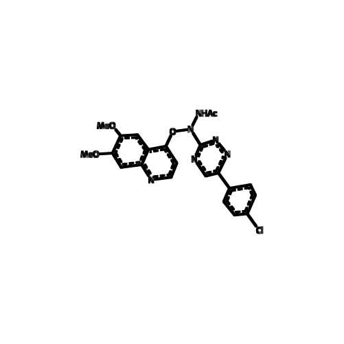 COc1cc2nccc(ON(NC(C)=O)c3ncc(-c4ccc(Cl)cc4)nn3)c2cc1OC